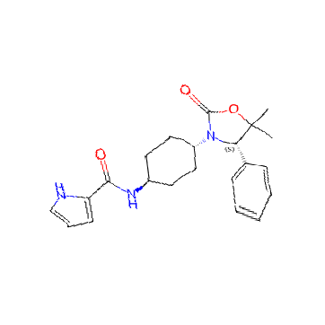 CC1(C)OC(=O)N([C@H]2CC[C@H](NC(=O)c3ccc[nH]3)CC2)[C@H]1c1ccccc1